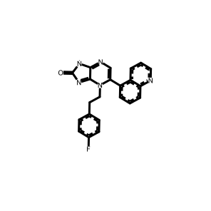 O=C1[N]C2=NC=C(c3cccc4ncccc34)N(CCc3ccc(F)cc3)C2=N1